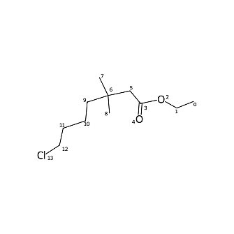 CCOC(=O)CC(C)(C)CCCCCl